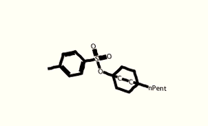 CCCCCC12CCC(OS(=O)(=O)c3ccc(C)cc3)(CC1)CC2